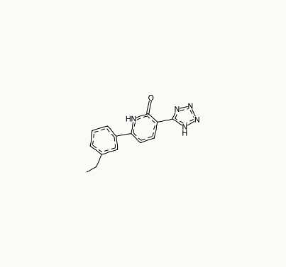 CCc1cccc(-c2ccc(-c3nnn[nH]3)c(=O)[nH]2)c1